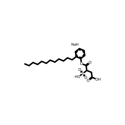 CCCCCCCCCCCCc1ccccc1OC(=O)C(CC(=O)O)S(=O)(=O)O.[NaH]